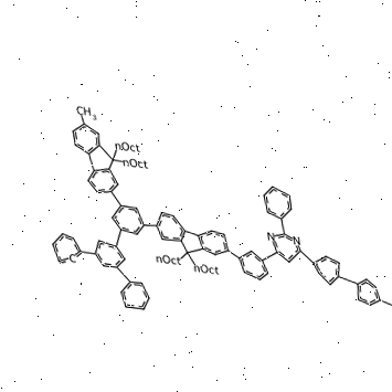 CCCCCCCCC1(CCCCCCCC)c2cc(C)ccc2-c2ccc(-c3cc(-c4cc(-c5ccccc5)cc(-c5ccccc5)c4)cc(-c4ccc5c(c4)C(CCCCCCCC)(CCCCCCCC)c4cc(-c6cccc(-c7cc(-c8ccc(-c9ccc(C)cc9)cc8)nc(-c8ccccc8)n7)c6)ccc4-5)c3)cc21